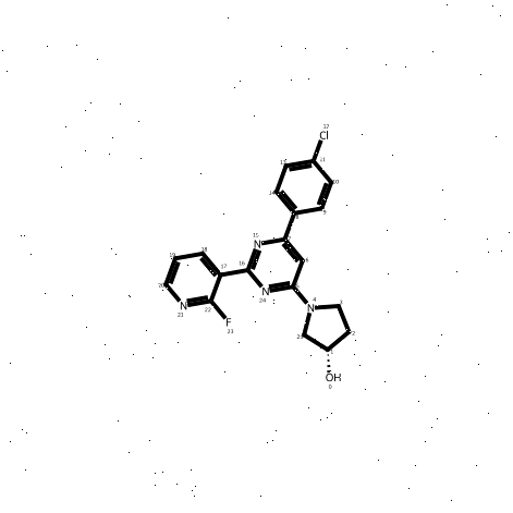 O[C@H]1CCN(c2cc(-c3ccc(Cl)cc3)nc(-c3cccnc3F)n2)C1